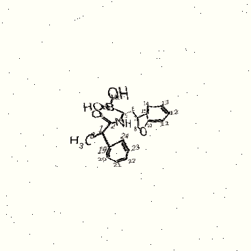 CC(C(=O)N[C@@H](Cc1coc2ccccc12)B(O)O)c1ccccc1